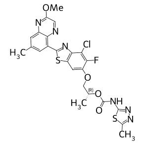 COc1cnc2c(-c3nc4c(Cl)c(F)c(OC[C@@H](C)OC(=O)Nc5nnc(C)s5)cc4s3)cc(C)cc2n1